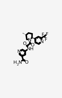 C[C@@H]1CC[C@@H](c2ccnc(C(F)(F)F)c2)N(C(=O)C(=O)Nc2cncc(C(N)=O)c2)C1